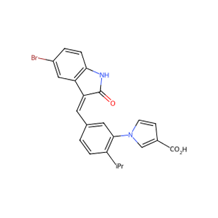 CC(C)c1ccc(C=C2C(=O)Nc3ccc(Br)cc32)cc1-n1ccc(C(=O)O)c1